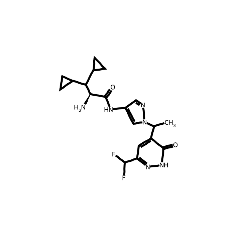 CC(c1cc(C(F)F)n[nH]c1=O)n1cc(NC(=O)[C@@H](N)C(C2CC2)C2CC2)cn1